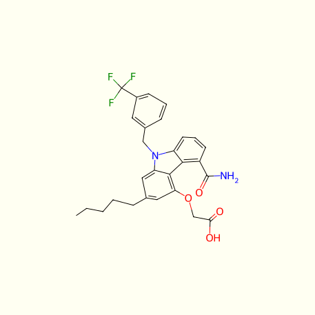 CCCCCc1cc(OCC(=O)O)c2c3c(C(N)=O)cccc3n(Cc3cccc(C(F)(F)F)c3)c2c1